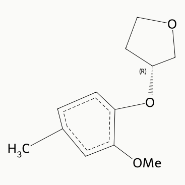 COc1cc(C)ccc1O[C@@H]1CCOC1